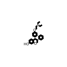 CCN(CC)CCOc1ccc([C@H]2c3ccc(O)cc3OC[C@H]2c2ccccc2)cc1